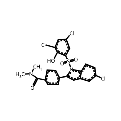 CN(C)C(=O)c1ccc(-c2cc3cc(Cl)ccc3n2S(=O)(=O)c2cc(Cl)cc(Cl)c2O)cc1